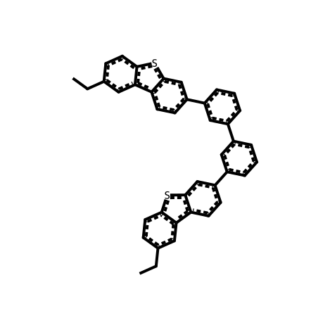 CCc1ccc2sc3cc(-c4cccc(-c5cccc(-c6ccc7c(c6)sc6ccc(CC)cc67)c5)c4)ccc3c2c1